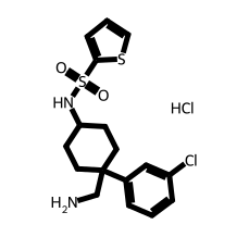 Cl.NCC1(c2cccc(Cl)c2)CCC(NS(=O)(=O)c2cccs2)CC1